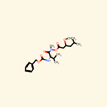 COC(CC(=O)ON(C)C(=O)[C@@H](NC(=O)OCc1ccccc1)C(C)C)CC(C)C